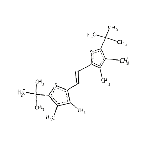 Cc1c(/C=C/c2sc(C(C)(C)C)c(C)c2C)sc(C(C)(C)C)c1C